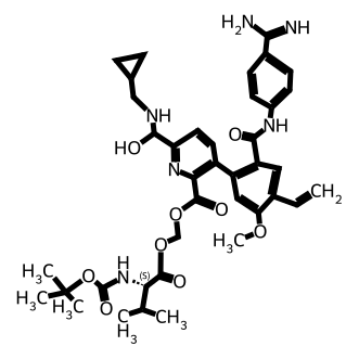 C=Cc1cc(C(=O)Nc2ccc(C(=N)N)cc2)c(-c2ccc(C(O)NCC3CC3)nc2C(=O)OCOC(=O)[C@@H](NC(=O)OC(C)(C)C)C(C)C)cc1OC